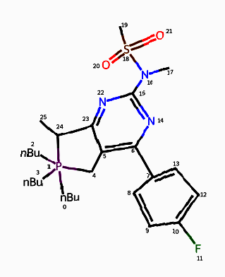 CCCCP1(CCCC)(CCCC)Cc2c(-c3ccc(F)cc3)nc(N(C)S(C)(=O)=O)nc2C1C